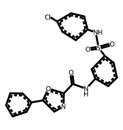 O=C(Nc1cccc(S(=O)(=O)Nc2ccc(Cl)cc2)c1)c1ncc(-c2ccccc2)o1